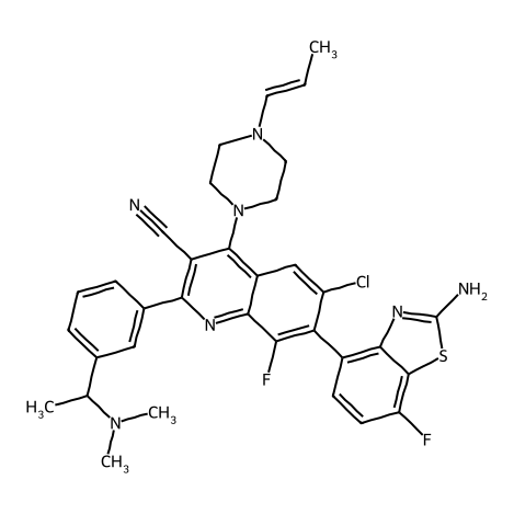 CC=CN1CCN(c2c(C#N)c(-c3cccc(C(C)N(C)C)c3)nc3c(F)c(-c4ccc(F)c5sc(N)nc45)c(Cl)cc23)CC1